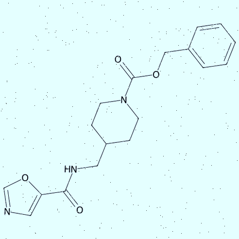 O=C(NCC1CCN(C(=O)OCc2ccccc2)CC1)c1cnco1